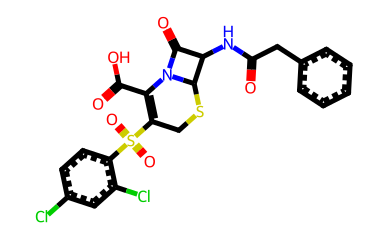 O=C(Cc1ccccc1)NC1C(=O)N2C(C(=O)O)=C(S(=O)(=O)c3ccc(Cl)cc3Cl)CSC12